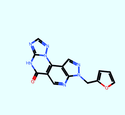 O=c1[nH]c2ncnn2c2c1cnc1c2cnn1Cc1ccco1